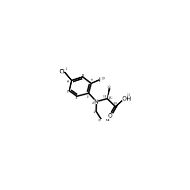 CCN(c1ccc(Cl)cc1I)[C@@H](C)C(=O)O